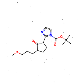 COCCCC1CCC(c2nccn2C(=O)OC(C)(C)C)C1=O